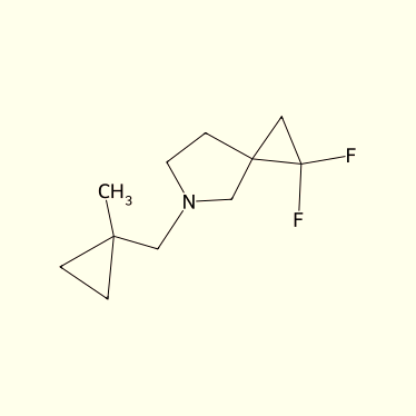 CC1(CN2CCC3(C2)CC3(F)F)CC1